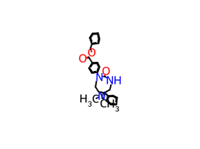 CN(C)[C@@]1(c2ccccc2)CCCN(c2ccc(C(=O)OCc3ccccc3)cc2)C(=O)NCC1